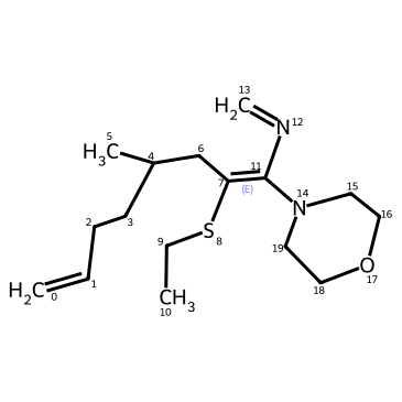 C=CCCC(C)C/C(SCC)=C(\N=C)N1CCOCC1